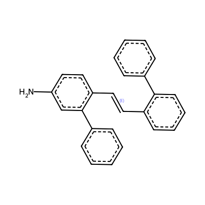 Nc1ccc(/C=C/c2ccccc2-c2ccccc2)c(-c2ccccc2)c1